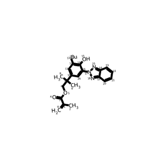 C=C(C)C(=O)OCC(C)(C)c1cc(C(C)CC)c(O)c(-n2nc3ccccc3n2)c1